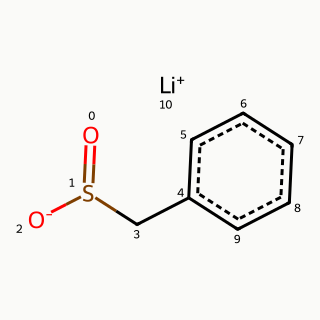 O=S([O-])Cc1ccccc1.[Li+]